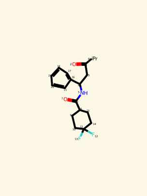 CC(C)C(=O)CC(NC(=O)C1CCC(F)(F)CC1)c1ccccc1